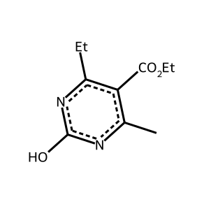 CCOC(=O)c1c(C)nc(O)nc1CC